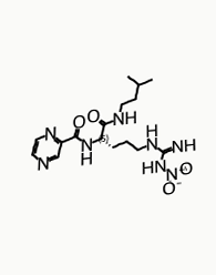 CC(C)CCNC(=O)[C@H](CCCNC(=N)N[N+](=O)[O-])NC(=O)c1cnccn1